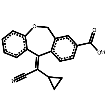 N#C/C(=C1/c2ccc(C(=O)O)cc2COc2ccccc21)C1CC1